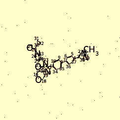 Cn1cc(-c2ccc(-c3ccc(C4=NC5(CCOCC5)C(=O)N4C[C@@H]4CCN(C(=O)C5CC5)C4)cc3)cc2)cn1